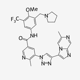 COc1c(CN2CCCC2)cc(NC(=O)c2cnc(C)c(-n3cc(-c4cnc5cnc(C)cn45)nn3)c2)cc1C(F)(F)F